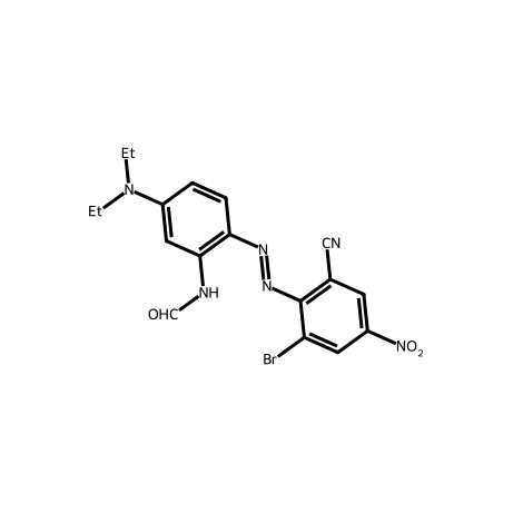 CCN(CC)c1ccc(N=Nc2c(Br)cc([N+](=O)[O-])cc2C#N)c(NC=O)c1